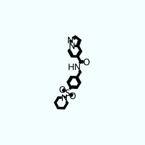 O=C(NCc1ccc(S(=O)(=O)N2CCCCC2)cc1)c1ccn2nccc2c1